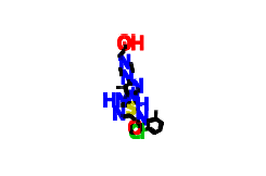 Cc1cccc(Cl)c1NC(=O)c1cnc(Nc2ncnc(N3CCN(CCO)CC3)c2C)s1